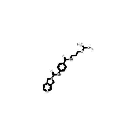 CC(C)OCCCNC(=O)c1ccc(NC(=O)N2Cc3ccncc3C2)cc1